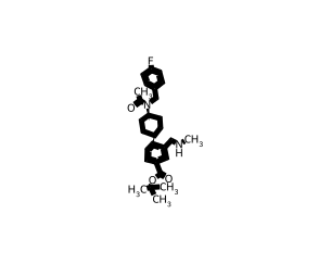 CNCc1cc(C(=O)OC(C)(C)C)ccc1[C@H]1CC[C@H](N(Cc2ccc(F)cc2)C(C)=O)CC1